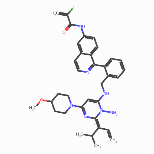 C=C/C(=C1/N=C(N2CCC(OC)CC2)C=C(NCc2ccccc2-c2nccc3cc(NC(=O)C(=C)F)ccc23)N1N)C(C)C